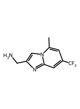 Cc1cc(C(F)(F)F)cc2nc(CN)cn12